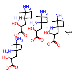 CC1(N)CCC1(N)CC(O)C(=O)[O-].CC1(N)CCC1(N)CC(O)C(=O)[O-].CC1(N)CCC1(N)CC(O)C(=O)[O-].CC1(N)CCC1(N)CC(O)C(=O)[O-].[Pt+4]